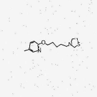 Cc1ccc(OCCCCCN2CCSC2)nc1